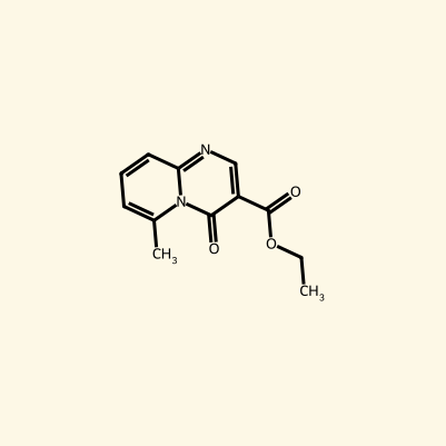 CCOC(=O)c1cnc2cccc(C)n2c1=O